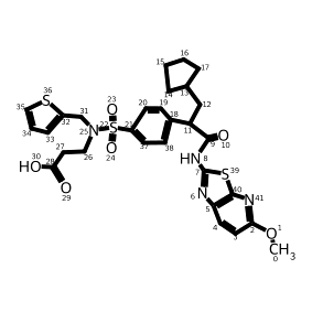 COc1ccc2nc(NC(=O)C(CC3CCCC3)c3ccc(S(=O)(=O)N(CCC(=O)O)Cc4cccs4)cc3)sc2n1